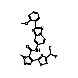 COc1ccccc1-c1nc2cc(NC(=O)c3c(-c4nc(C(F)F)cs4)cnn3C)ccn2n1